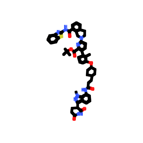 Cc1c(OC2CCC(CCC(=O)Nc3cccc4c(C5CCC(=O)NC5=O)nn(C)c34)CC2)cccc1-c1ccc(N2CCc3cccc(C(=O)Nc4nc5ccccc5s4)c3C2)nc1C(=O)OC(C)(C)C